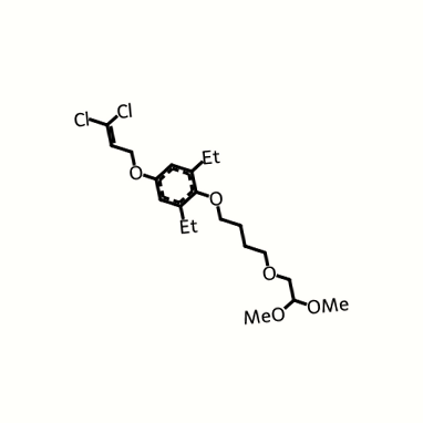 CCc1cc(OCC=C(Cl)Cl)cc(CC)c1OCCCCOCC(OC)OC